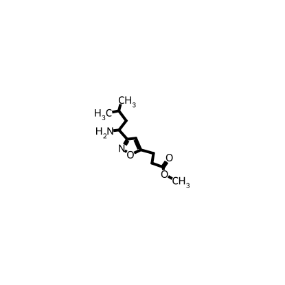 COC(=O)CCc1cc(C(N)CC(C)C)no1